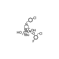 CC(C)(C)C(N(C(=O)O)C1CCN(Cc2ccc(Cl)cc2)CC1)[C@](C)(O)COc1cc(F)ccc1CCl